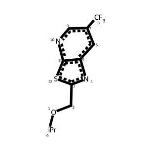 CC(C)OCc1nc2cc(C(F)(F)F)cnc2s1